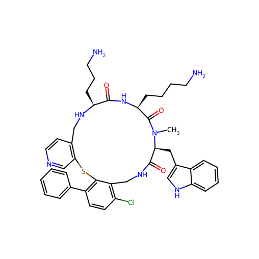 CN1C(=O)[C@H](CCCCN)NC(=O)[C@H](CCCN)NCc2ccncc2Sc2c(-c3ccccc3)ccc(Cl)c2CNC(=O)[C@@H]1Cc1c[nH]c2ccccc12